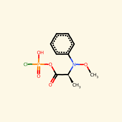 CON(c1ccccc1)[C@@H](C)C(=O)OP(=O)(O)Cl